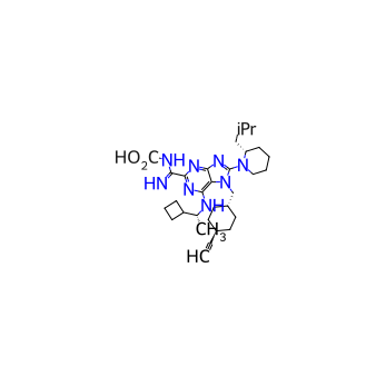 C#C[C@H]1CC[C@H](Cn2c(N3CCCC[C@H]3CC(C)C)nc3nc(C(=N)NC(=O)O)nc(N[C@H](C)C4CCC4)c32)CC1